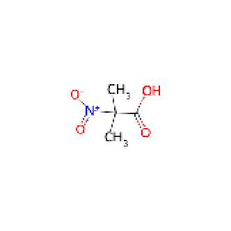 CC(C)(C(=O)O)[N+](=O)[O-]